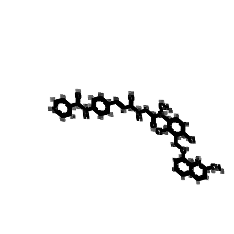 Cc1ccc2cccc(OCc3c(Cl)ccc(N(C)C(=O)CNC(=O)/C=C/c4ccc(NC(=O)c5ccncc5)cc4)c3Cl)c2n1